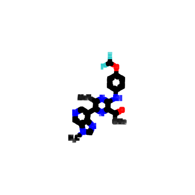 CNc1nc(Nc2ccc(OC(F)F)cc2)c(C(=O)OC)nc1-c1cncc2c1ncn2C